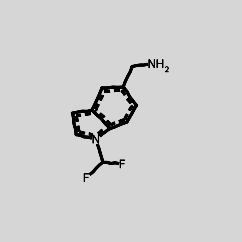 NCc1ccc2c(ccn2C(F)F)c1